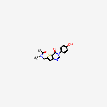 CCC(=O)N(C)Cc1cc2ncn(-c3ccc(O)cc3)c(=O)c2s1